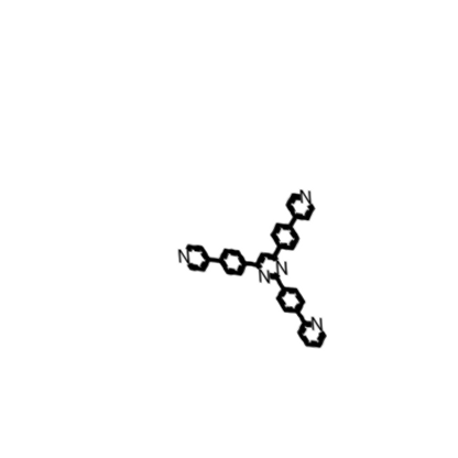 c1ccc(-c2ccc(-c3nc(-c4ccc(-c5ccncc5)cc4)cc(-c4ccc(-c5ccncc5)cc4)n3)cc2)nc1